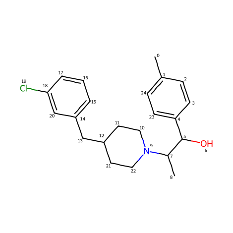 Cc1ccc(C(O)C(C)N2CCC(Cc3cccc(Cl)c3)CC2)cc1